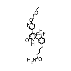 CCOCCOc1ccc(-c2cc(=O)[nH]c(-c3cc(CCCCC(N)=O)ccc3C(F)(F)F)n2)cn1